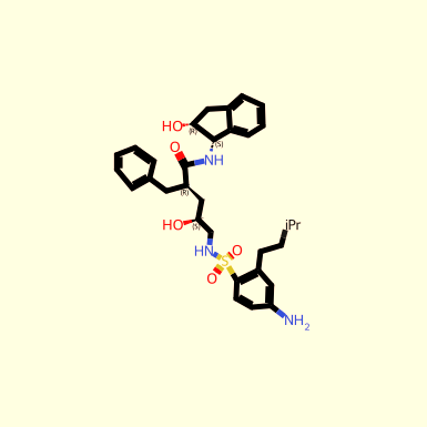 CC(C)CCc1cc(N)ccc1S(=O)(=O)NC[C@@H](O)C[C@@H](Cc1ccccc1)C(=O)N[C@H]1c2ccccc2C[C@H]1O